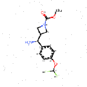 CC(C)(C)OC(=O)N1CC([C@H](N)c2ccc(OC(F)F)cc2)C1